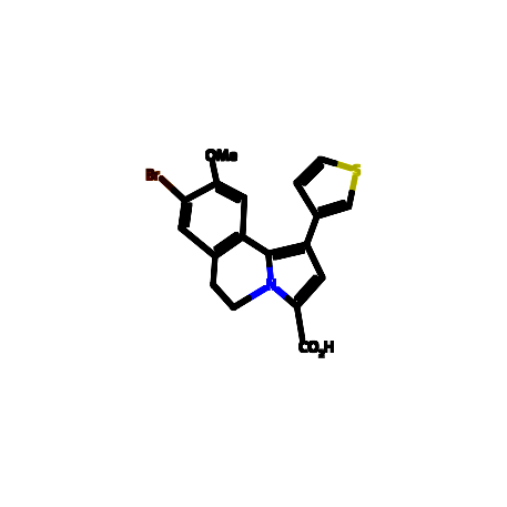 COc1cc2c(cc1Br)CCn1c(C(=O)O)cc(-c3ccsc3)c1-2